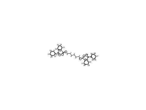 O=C(OCCCCCCOC(=O)c1ccccc1C(=O)c1ccccc1)c1ccccc1C(=O)c1ccccc1